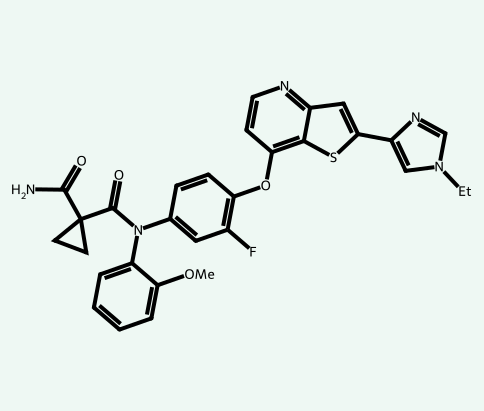 CCn1cnc(-c2cc3nccc(Oc4ccc(N(C(=O)C5(C(N)=O)CC5)c5ccccc5OC)cc4F)c3s2)c1